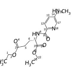 CCOC(=O)CC[C@H](NC(=O)c1ccc(NC)cn1)C(=O)OCC